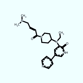 CCN(c1cc(-c2ccncc2)c[nH]c1=O)C1CCN(C(=O)C=CCN(C)C)CC1